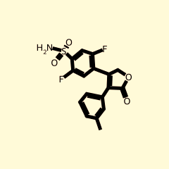 Cc1cccc(C2=C(c3cc(F)c(S(N)(=O)=O)cc3F)COC2=O)c1